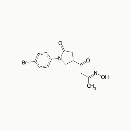 CC(CC(=O)C1CC(=O)N(c2ccc(Br)cc2)C1)=NO